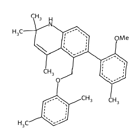 COc1ccc(C)cc1-c1ccc2c(c1COc1cc(C)ccc1C)C(C)=CC(C)(C)N2